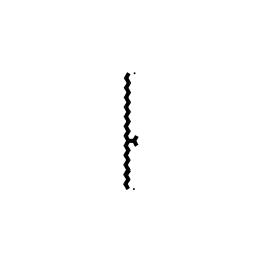 [CH2]CCC=CCCCCCC(CCCCCCCCCCCCC[CH2])C(C)C